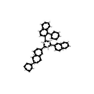 c1ccc(-c2ccc3cc(-c4nc(-c5ccc6ccccc6c5)nc(-c5ccc6ccccc6c5-c5ccccc5)n4)ccc3c2)cc1